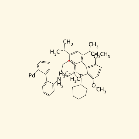 COc1ccc(OC)c(P(C2CCCCC2)C2CCCCC2)c1-c1c(C(C)C)cc(C(C)C)cc1C(C)C.Nc1ccccc1-c1cccc[c]1[Pd]